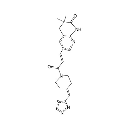 CC1(C)Cc2cc(/C=C/C(=O)N3CCC(=Cc4nncs4)CC3)cnc2NC1=O